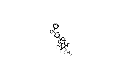 C=Cc1c(F)c(F)c(OC(=O)c2ccc(C(=O)c3ccccc3)cc2)c(F)c1F